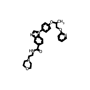 CC(COc1ccccn1)Oc1ccc(-n2cnc3cc(C(=O)NCCN4CCOCC4)ccc32)cc1